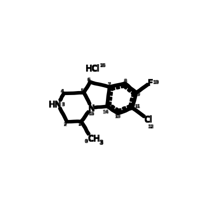 CC1CNCC2Cc3cc(F)c(Cl)cc3N12.Cl